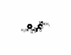 COc1ccccc1Nc1nc(-c2cc3ncn(C)c3oc2=O)cs1